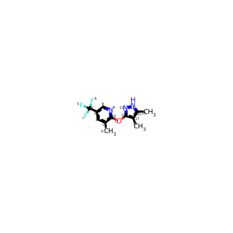 Cc1cc(C(F)(F)F)cnc1Oc1n[nH]c(C)c1C